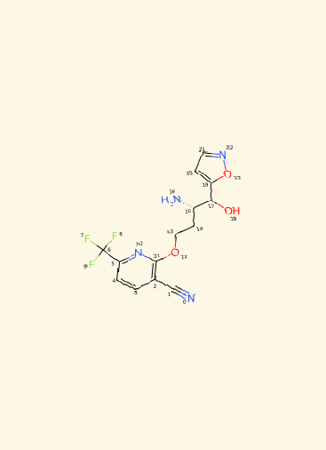 N#Cc1ccc(C(F)(F)F)nc1OCC[C@H](N)C(O)c1ccno1